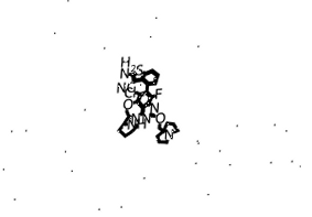 N#Cc1c(N)sc2cccc(-c3c(Cl)c4c5c(nc(OCC67CCCN6CCC7)nc5c3F)N3CC5CCC(N5)C3CO4)c12